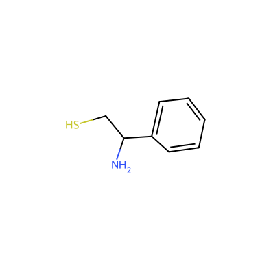 NC(CS)c1ccccc1